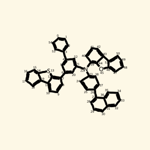 c1ccc(-c2cc(-c3cccc4c3sc3ccccc34)cc(N(c3ccc(-c4cccc5ccccc45)cc3)c3cccc4c3oc3ccccc34)c2)cc1